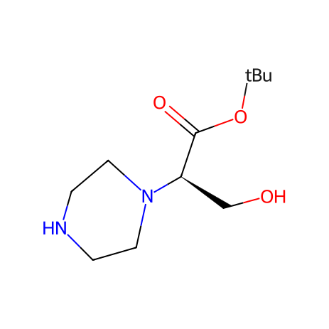 CC(C)(C)OC(=O)[C@@H](CO)N1CCNCC1